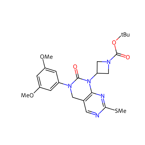 COc1cc(OC)cc(N2Cc3cnc(SC)nc3N(C3CN(C(=O)OC(C)(C)C)C3)C2=O)c1